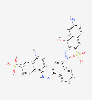 Nc1ccc2cc(S(=O)(=O)O)c(/N=N/c3ccc(/N=N\c4ccc(N)c5cc(S(=O)(=O)O)ccc45)c4ccccc34)c(O)c2c1